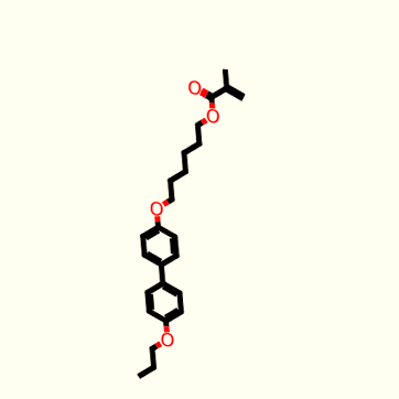 C=C(C)C(=O)OCCCCCCOc1ccc(-c2ccc(OCCC)cc2)cc1